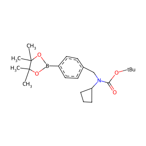 CC(C)(C)OC(=O)N(Cc1ccc(B2OC(C)(C)C(C)(C)O2)cc1)C1CCC1